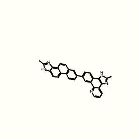 Cc1nc2c(ccc3c4ccc(-c5ccc6c(c5)c5ncccc5c5nc(C)[nH]c65)cc4ccc32)[nH]1